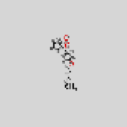 CCCCCCOc1ccc(C2OC(=O)c3ccccc32)cc1